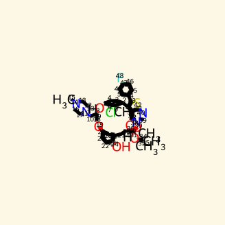 Cc1c2ccc(c1Cl)O[C@H](CN1CCN(C)CC1)COc1ccc(O)c(c1)C[C@H](C(=O)OC(C)(C)C)Oc1ncnc3sc(-c4ccc(F)cc4)c-2c13